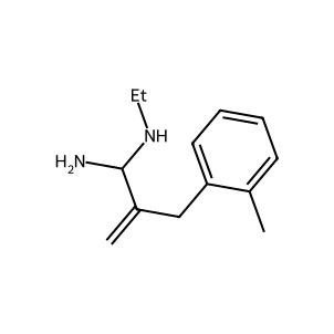 C=C(Cc1ccccc1C)C(N)NCC